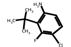 CC(C)(C)c1c(N)ccc(Cl)c1F